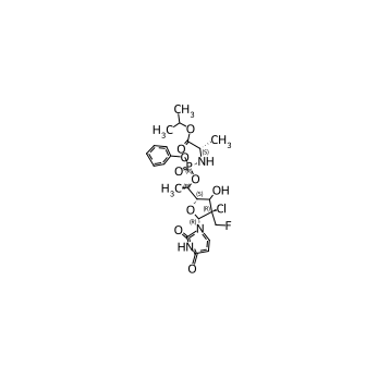 CC(C)OC(=O)[C@H](C)N[P@](=O)(Oc1ccccc1)O[C@H](C)[C@H]1O[C@@H](n2ccc(=O)[nH]c2=O)[C@@](Cl)(CF)C1O